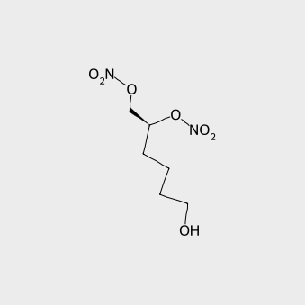 O=[N+]([O-])OC[C@H](CCCCO)O[N+](=O)[O-]